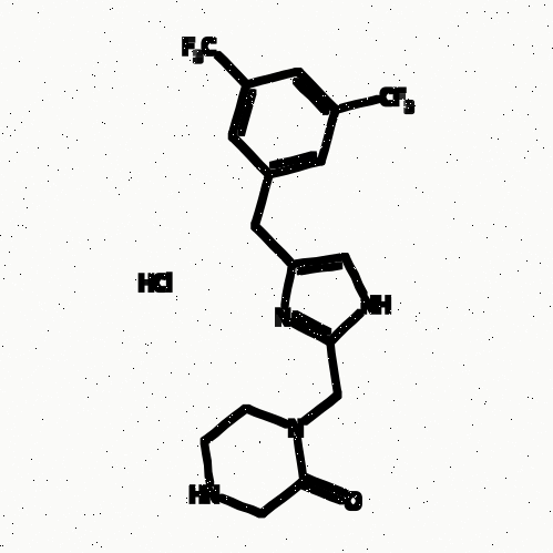 Cl.O=C1CNCCN1Cc1nc(Cc2cc(C(F)(F)F)cc(C(F)(F)F)c2)c[nH]1